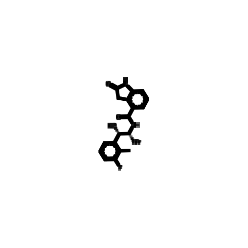 CCC[C@@H](NC(=O)c1cccc2c1CC(=O)N2)[C@@H](O)c1cccc(F)c1C